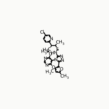 COc1ncnc(OC)c1-n1c(NSC(C)C(C)c2ccc(Cl)cn2)nnc1-c1ccc(C)o1